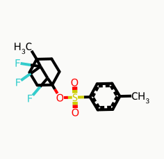 Cc1ccc(S(=O)(=O)OC23CCC(C)(CC2)C(F)(F)C3F)cc1